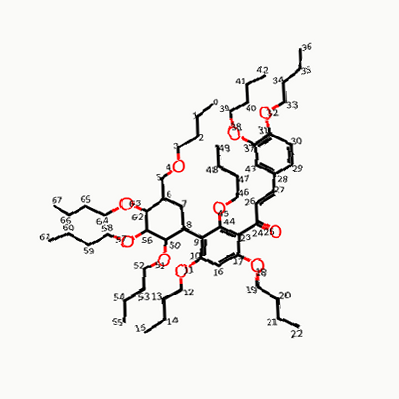 CCCCOCC1CC(c2c(OCCCC)cc(OCCCC)c(C(=O)/C=C/c3ccc(OCCCC)c(OCCCC)c3)c2OCCCC)C(OCCCC)C(OCCCC)C1OCCCC